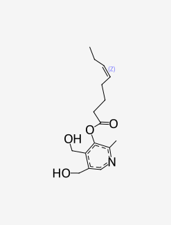 CC/C=C\CCCC(=O)Oc1c(C)ncc(CO)c1CO